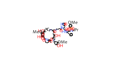 COc1ccc(S(=O)(=O)N(CC(C)C)C[C@H](O)[C@@H](Cc2ccccc2)NC(=O)CC(Cc2ccco2)NC(=O)CC/C=C/C[C@@H]2/C=C(\C)C[C@H](C)C[C@H](O)[C@H]3O[C@@](O)(C(=O)C(=O)N4CCCC[C@H]4C(=O)O[C@H](/C(C)=C/[C@@H]4CC[C@@H](O)[C@H](OC)C4)[C@H](C)[C@@H](O)CC2=O)[C@H](C)C[C@@H]3OC)cc1